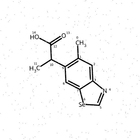 Cc1cc2nc[se]c2cc1C(C)C(=O)O